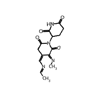 C/C=N/C=C1/CC(=O)N(C2CCC(=O)NC2=O)C(=O)/C1=N/C